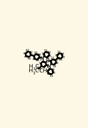 CC(C)(C)c1cc2c3c(c1)N(c1ccccc1)c1ccc(-c4ccccc4)cc1B3c1ccccc1N2c1ccc(-c2ccccc2)cc1